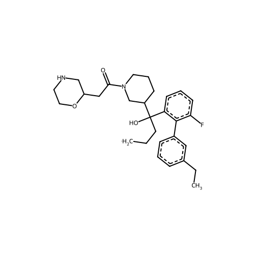 [CH2]CCC(O)(c1cccc(F)c1-c1cccc(CC)c1)C1CCCN(C(=O)CC2CNCCO2)C1